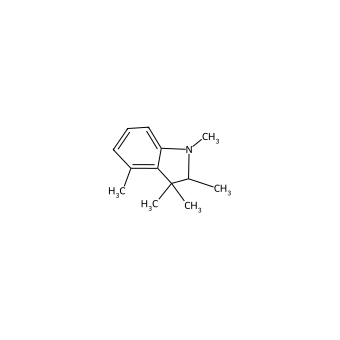 Cc1cccc2c1C(C)(C)C(C)N2C